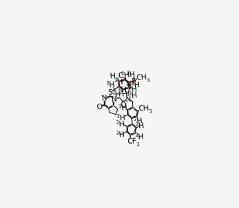 [2H]c1c([2H])c(-c2c([2H])c([2H])c(C(F)(F)F)c([2H])c2[2H])c([2H])c(C)c1CN(C(=O)Cn1c(SC([2H])([2H])c2ccc(F)cc2)nc(=O)c2c1CCC2)C([2H])([2H])C([2H])([2H])N(C([2H])([2H])C)C([2H])([2H])C